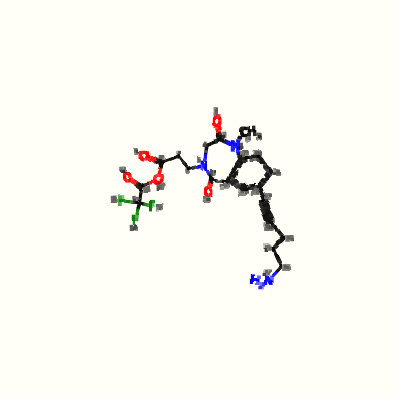 CN1C(=O)CN(CCC(=O)OC(=O)C(F)(F)F)C(=O)c2cc(C#CCCCN)ccc21